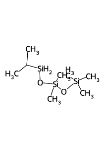 CC(C)[SiH2]O[Si](C)(C)O[Si](C)(C)C